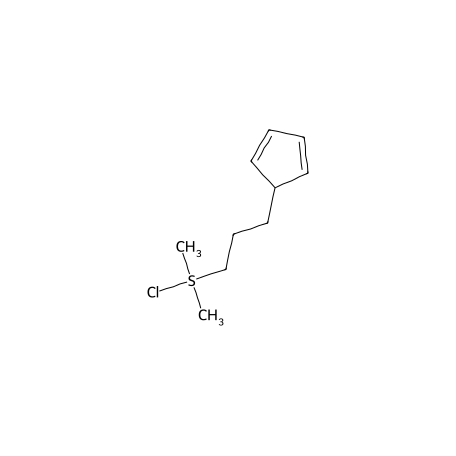 CS(C)(Cl)CCCC1C=CC=C1